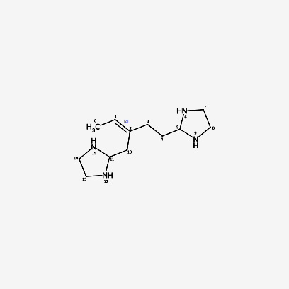 C/C=C(/CCC1NCCN1)CC1NCCN1